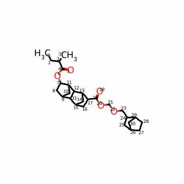 CCC(C)C(=O)OC1CC2CC1C1C3CC(CC3C(=O)OCOCC3CC4CCC3C4)C21